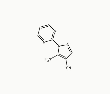 N#Cc1cnn(-c2ncccn2)c1N